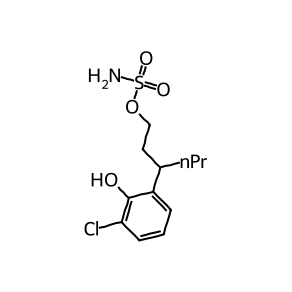 CCCC(CCOS(N)(=O)=O)c1cccc(Cl)c1O